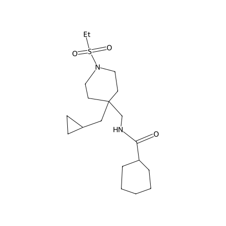 CCS(=O)(=O)N1CCC(CNC(=O)C2CCCCC2)(CC2CC2)CC1